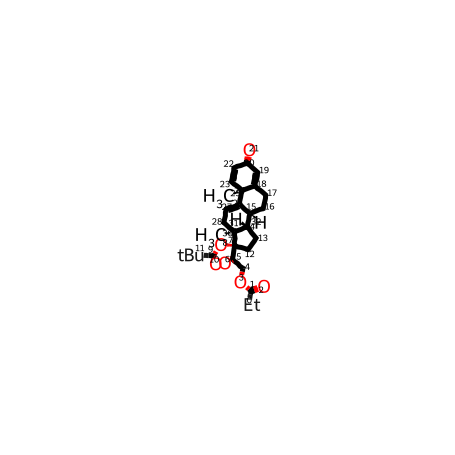 CCC(=O)OCC(=O)[C@@]1(OC(=O)C(C)(C)C)CC[C@H]2[C@@H]3CCC4=CC(=O)C=C[C@]4(C)C3=CC[C@@]21C